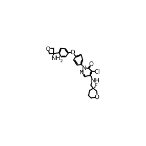 NC1(c2ccc(Oc3ccc(-n4ncc(NC[C@@]5(F)CCCOC5)c(Cl)c4=O)cc3)cc2)COC1